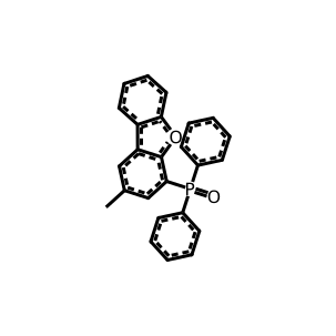 Cc1cc(P(=O)(c2ccccc2)c2ccccc2)c2oc3ccccc3c2c1